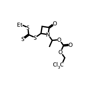 CCSC(=S)SC1CC(=O)N1C(C)OC(=O)OCC(Cl)(Cl)Cl